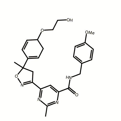 COc1ccc(CNC(=O)c2cc(C3=NOC(C)(C4=CCC(OCCO)C=C4)C3)nc(C)n2)cc1